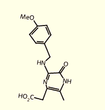 COc1ccc(CNc2nc(CC(=O)O)c(C)[nH]c2=O)cc1